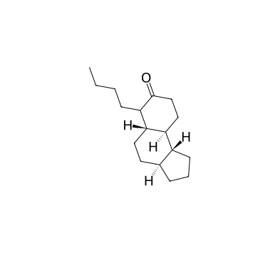 CCCCC1C(=O)CC[C@H]2[C@@H]3CCC[C@H]3CC[C@H]12